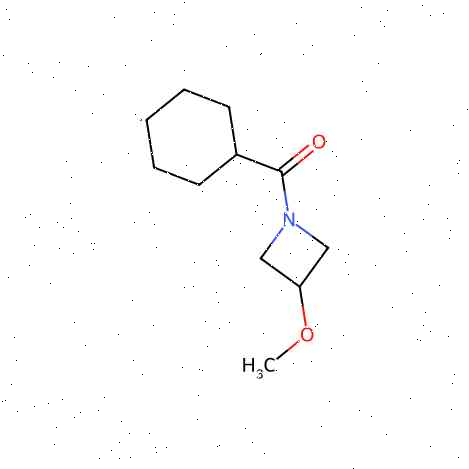 COC1CN(C(=O)C2CC[CH]CC2)C1